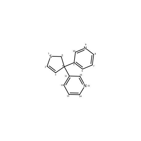 [CH]1SC=CC1(c1cccnc1)c1cccnc1